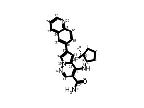 C[C@]1(F)CCC[C@H]1Nc1c(C(N)=O)cnn2cc(-c3ccc4ncccc4c3)cc12